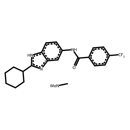 CNC.O=C(Nc1ccc2[nH]c(C3CCCCC3)nc2c1)c1ccc(C(F)(F)F)cc1